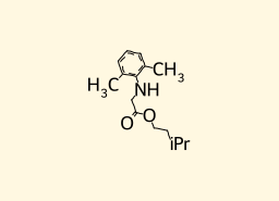 Cc1cccc(C)c1NCC(=O)OCCC(C)C